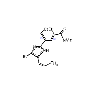 C/C=C\c1[nH]c(C(/C=C(\CC)C(=O)NC)=C/CC)nc1CC